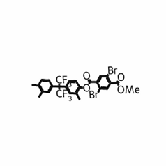 COC(=O)c1cc(Br)c(C(=O)Oc2ccc(C(c3ccc(C)c(C)c3)(C(F)(F)F)C(F)(F)F)cc2C)cc1Br